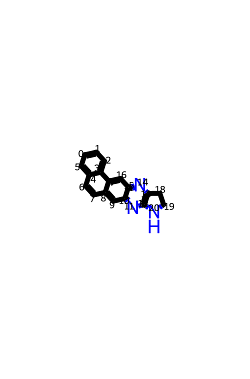 c1ccc2c(c1)ccc1cc3nc4c(nc3cc12)CCN4